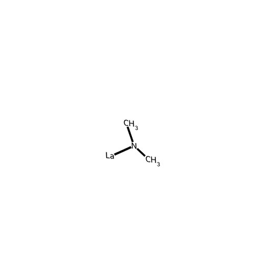 C[N](C)[La]